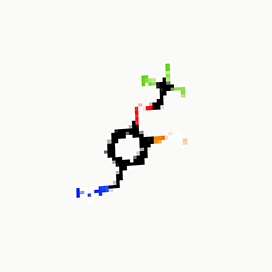 NCc1ccc(OCC(F)(F)F)c(P)c1